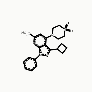 O=C(O)c1cc(N2CCS(=O)(=O)CC2)c2c(C3CCC3)nn(-c3ccccc3)c2n1